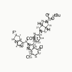 CCOC(=O)C(c1ncn2c1C[C@@H](F)C2)n1nc2c(Cl)ccc(Cl)c2c1-c1ccc(N2C[C@H]3CN(C(=O)OC(C)(C)C)C[C@H]3C2)cc1